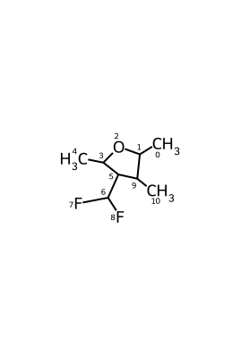 CC1OC(C)C(C(F)F)C1C